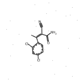 C/C(=C(\C#N)C(N)=O)c1ccc(Cl)cc1Cl